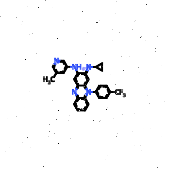 Cc1cncc(Nc2cc3nc4ccccc4n(-c4ccc(C(F)(F)F)cc4)c-3c/c2=N\C2CC2)c1